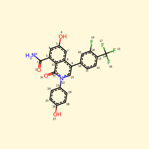 NC(=O)c1cc(O)cc2c(-c3ccc(C(F)(F)F)c(F)c3)cn(-c3ccc(O)cc3)c(=O)c12